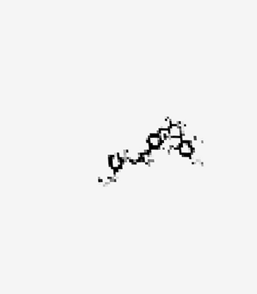 COc1ccnc(NCc2cc(-c3ccc(CC(NC(=O)c4c(C)cc(C)cc4C)C(=O)O)cc3)on2)c1